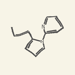 C/C=C/c1cccn1-c1ccccn1